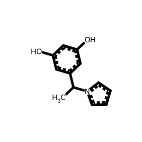 CC(c1cc(O)cc(O)c1)n1cccc1